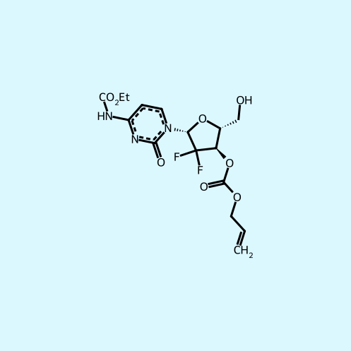 C=CCOC(=O)O[C@@H]1[C@@H](CO)O[C@@H](n2ccc(NC(=O)OCC)nc2=O)C1(F)F